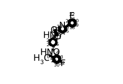 C[C@@H](NC(=O)[C@H]1CC[C@H](NS(=O)(=O)c2ccc(-c3cccc(F)c3)nc2)CC1)c1ccc(F)cc1